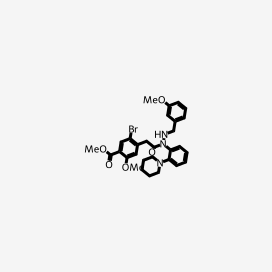 COC(=O)c1cc(Br)c(CC(=O)N(NCc2cccc(OC)c2)c2ccccc2N2CCCCC2)cc1OC